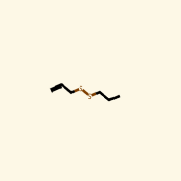 C=CCSSCCC